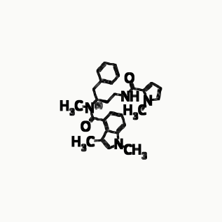 Cc1cn(C)c2cccc(C(=O)N(C)[C@H](CCNC(=O)c3cccn3C)Cc3ccccc3)c12